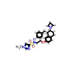 Cn1cnc(S(=O)(=O)NCCOc2ccc3c(c2)[C@@H](Cc2ccccc2)[C@@H](N2CCC2)CC3)c1